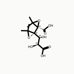 CC1(C)O[C@@]1(C(=O)O)[C@]1([C@H](O)[C@H](O)C(=O)O)OC1(C)C